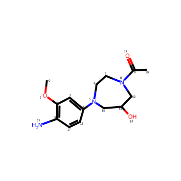 COc1cc(N2CCN(C(C)=O)CC(O)C2)ccc1N